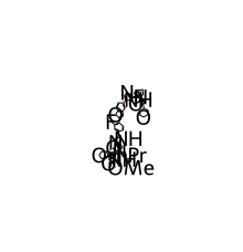 CCCN(Cc1ncc(-c2ccc(-c3cc4cc(-c5cnc([C@@H]6CCCN6C(=O)CC6CCOCC6)[nH]5)ccc4o3)c(F)c2)[nH]1)C(=O)[C@@H](NC(=O)OC)C1CCOCC1